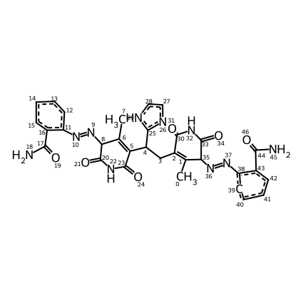 CC1=C(CC(C2=C(C)C(N=Nc3ccccc3C(N)=O)C(=O)NC2=O)c2ncc[nH]2)C(=O)NC(=O)C1N=Nc1ccccc1C(N)=O